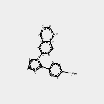 COc1ccc(-c2nccn2-c2ccc3ncncc3c2)cc1